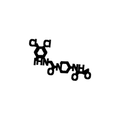 O=C(NC1CCN(C(=O)CNc2cc(Cl)c(Cl)cc2I)CC1)C1CO1